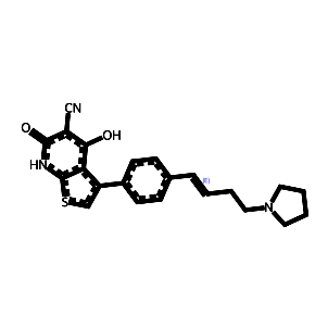 N#Cc1c(O)c2c(-c3ccc(/C=C/CCN4CCCC4)cc3)csc2[nH]c1=O